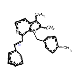 Cc1ccc(Cn2c(C)c(C)c3ccnc(/C=C/c4ccccc4)c32)cc1